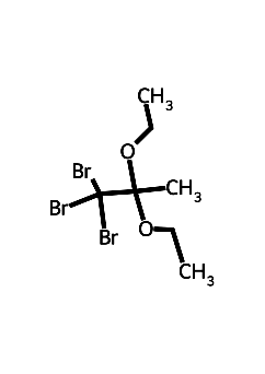 CCOC(C)(OCC)C(Br)(Br)Br